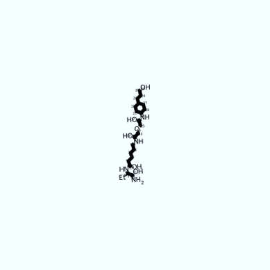 CC[C@@H](NC(O)CCCCCNC(O)COCC(O)NC1CCC(CCCO)CC1)C(N)O